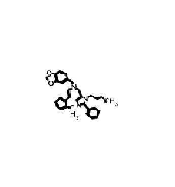 CCCCn1c(CN(CCc2ccccc2C)Cc2ccc3c(c2)OCO3)cnc1-c1ccccc1